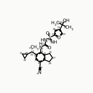 C[C@H](c1cc(C#N)c2c(c1NC(=O)N[S@@](=N)(=O)c1cc(C(C)(C)O)co1)CCC2)C1CC1